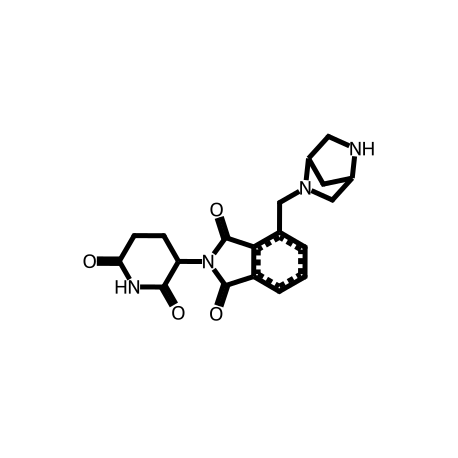 O=C1CCC(N2C(=O)c3cccc(CN4CC5CC4CN5)c3C2=O)C(=O)N1